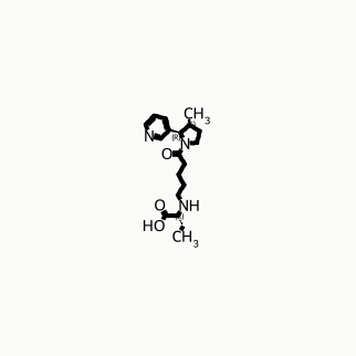 CC[C@@H](NCCCCC(=O)N1CC[C@H](C)[C@@H]1c1cccnc1)C(=O)O